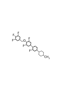 CC1CCC(c2ccc(-c3cc(F)c(OCc4cc(F)c(F)c(F)c4)c(F)c3)c(F)c2)CC1